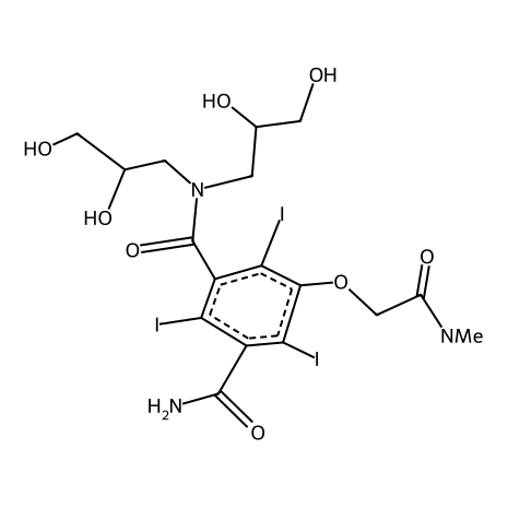 CNC(=O)COc1c(I)c(C(N)=O)c(I)c(C(=O)N(CC(O)CO)CC(O)CO)c1I